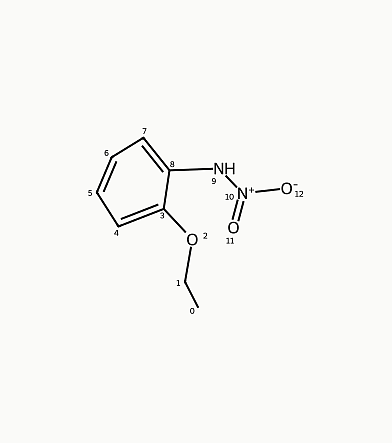 CCOc1ccccc1N[N+](=O)[O-]